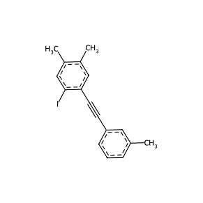 Cc1cccc(C#Cc2cc(C)c(C)cc2I)c1